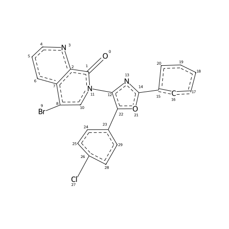 O=c1c2ncccc2c(Br)cn1-c1nc(-c2ccccc2)oc1-c1ccc(Cl)cc1